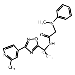 C[C@H](NC(=O)CN(C)c1ccccc1)c1nc(-c2ccnc(C(F)(F)F)c2)no1